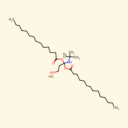 Br.CCCCCCCCCCCCCC(=O)OC(CCO)(NC(C)(C)C)OC(=O)CCCCCCCCCCCCC